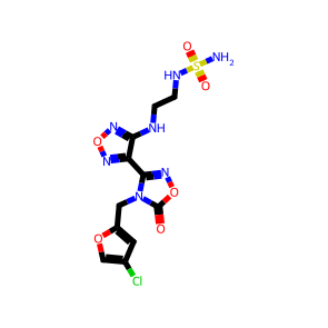 NS(=O)(=O)NCCNc1nonc1-c1noc(=O)n1Cc1cc(Cl)co1